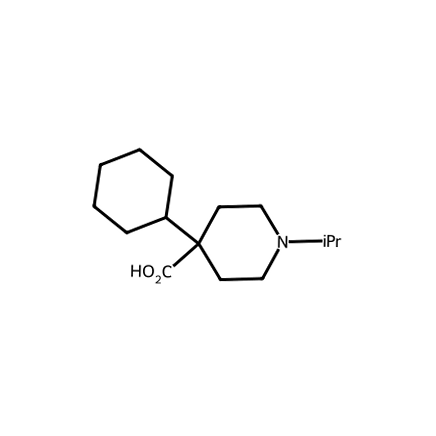 CC(C)N1CCC(C(=O)O)(C2CCCCC2)CC1